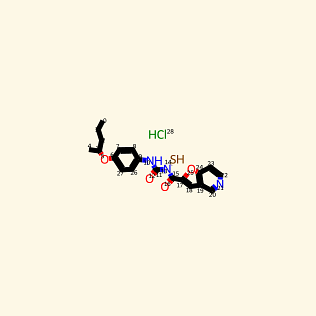 CCCC(C)Oc1ccc(NC(=O)N(S)C(=O)c2cc3cnccc3o2)cc1.Cl